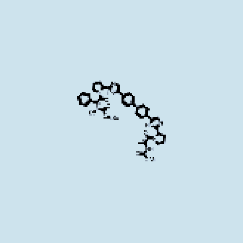 CCN(C(=O)OC(C)(C)C)[C@@H](C(=O)N1CCCC1c1ncc(-c2ccc(-c3ccc(-c4cnc(C5CCCN5C(=O)[C@H](C)NC(=O)OC)[nH]4)cc3)cc2)[nH]1)c1ccccc1